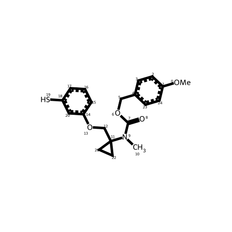 COc1ccc(COC(=O)N(C)C2(COc3cccc(S)c3)CC2)cc1